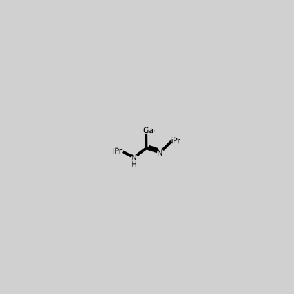 CC(C)N=[C]([Ga])NC(C)C